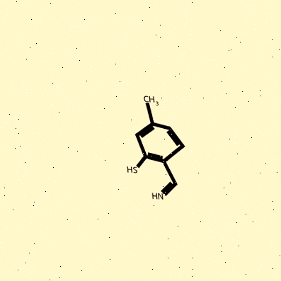 Cc1ccc(C=N)c(S)c1